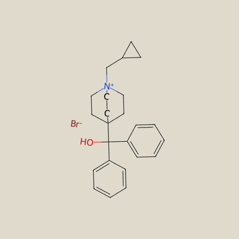 OC(c1ccccc1)(c1ccccc1)C12CC[N+](CC3CC3)(CC1)CC2.[Br-]